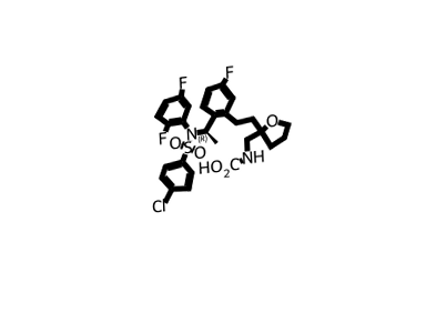 C[C@H](c1ccc(F)cc1CCC1(CNC(=O)O)CCCO1)N(c1cc(F)ccc1F)S(=O)(=O)c1ccc(Cl)cc1